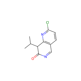 CC(C)C1C(=O)N=Cc2ccc(Cl)nc21